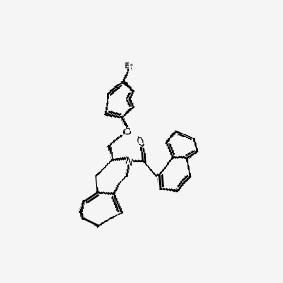 CCc1ccc(OC[C@@H]2CC3=CCCC=C3CN2C(=O)c2cccc3ccccc23)cc1